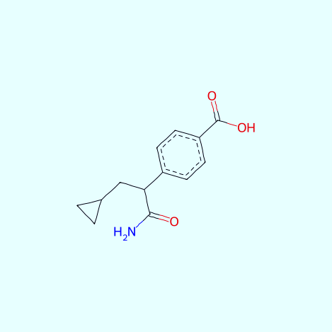 NC(=O)C(CC1CC1)c1ccc(C(=O)O)cc1